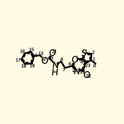 Cc1csc2oc(CCNC(=O)OCc3ccccc3)nc(=O)c12